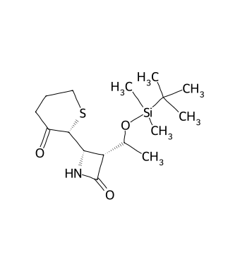 CC(O[Si](C)(C)C(C)(C)C)[C@@H]1C(=O)N[C@@H]1[C@H]1SCCCC1=O